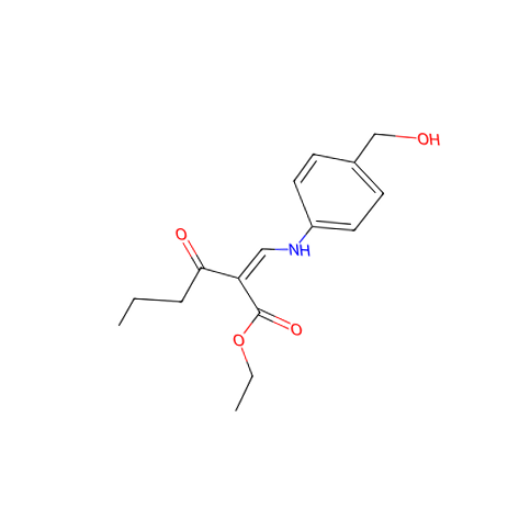 CCCC(=O)/C(=C/Nc1ccc(CO)cc1)C(=O)OCC